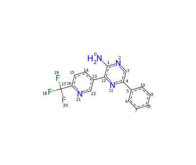 Nc1ncc(-c2cc[c]cc2)nc1-c1ccc(C(F)(F)F)nc1